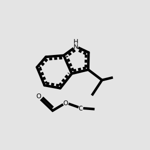 CC(C)c1c[nH]c2ccccc12.CCOC=O